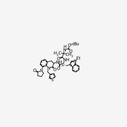 CCn1cc(C[C@@H](NC(=O)C(C)(C)NC(=O)OC(C)(C)C)C(=O)NC2Cc3cccc(N4CCCC4=O)c3N(Cc3ccsc3)C2=O)c2ccccc21